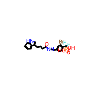 O=C(CCCc1c[nH]c2ccccc12)NCCc1ccc(C(F)(F)P(=O)(O)O)c(Br)c1